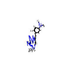 CC(C)n1cc(-c2ccc(N(C)C)cc2)nn1